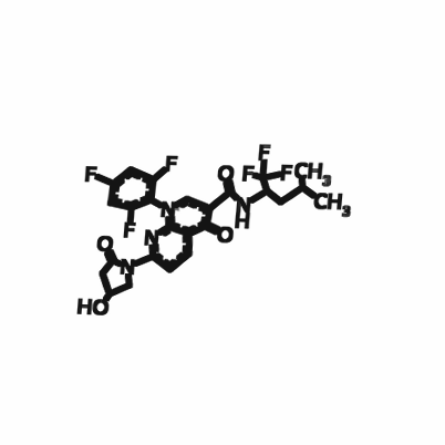 CC(C)CC(NC(=O)c1cn(-c2c(F)cc(F)cc2F)c2nc(N3CC(O)CC3=O)ccc2c1=O)C(F)(F)F